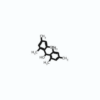 Cc1cc(C)c(C(O)c2c(C)cc(C)cc2C)c(C)c1